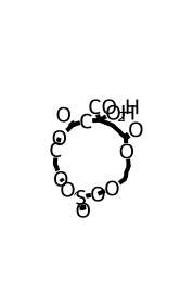 O=C1CC(O)(C(=O)O)CC(=O)OCCOOS(=O)OOCCO1